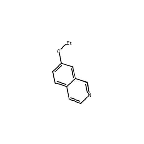 CCOc1ccc2ccncc2c1